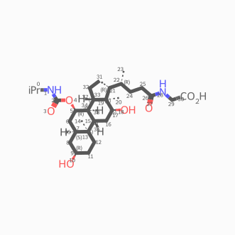 CC(C)NC(=O)O[C@@H]1C[C@@H]2C[C@H](O)CC[C@]2(C)[C@H]2C[C@H](O)[C@]3(C)[C@@H]([C@H](C)CCC(=O)NCC(=O)O)CC[C@H]3[C@H]12